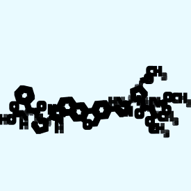 COC[C@H]1C[C@@H](c2ncc(-c3ccc4c(c3)COc3cc5c(ccc6nc([C@@H]7CCCN7C(=O)[C@H](NC(=O)O)c7ccccc7)[nH]c65)cc3-4)[nH]2)N(C(=O)[C@@H](NC(=O)OC)[C@@H](C)OC)C1